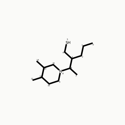 CCCC(CS)C(C)N1CCC(C)C(C)C1